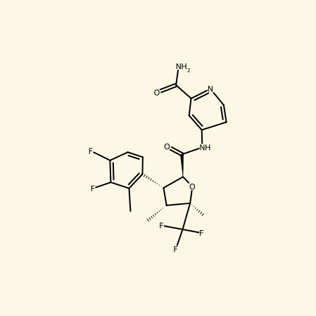 Cc1c([C@@H]2[C@@H](C(=O)Nc3ccnc(C(N)=O)c3)O[C@@](C)(C(F)(F)F)[C@@H]2C)ccc(F)c1F